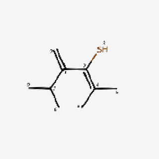 C=C(C(S)=C(C)C)C(C)C